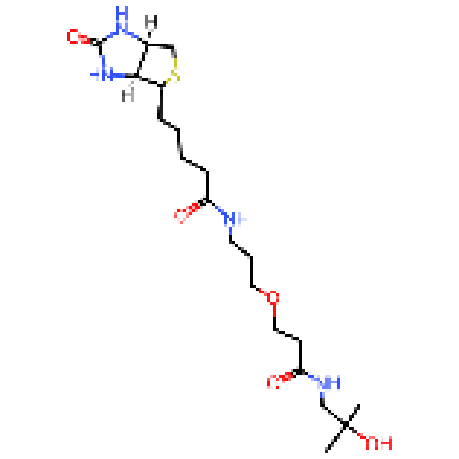 CC(C)(O)CNC(=O)CCOCCCNC(=O)CCCC[C@@H]1SC[C@@H]2NC(=O)N[C@@H]21